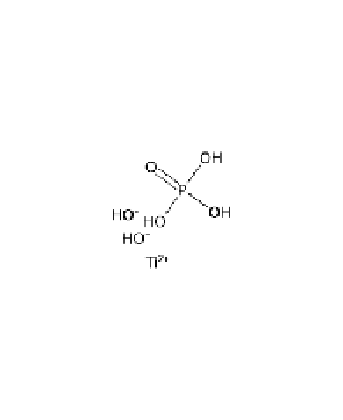 O=P(O)(O)O.[OH-].[OH-].[Ti+2]